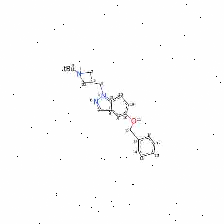 CC(C)(C)N1CC(Cn2ncc3cc(OCc4ccccc4)ccc32)C1